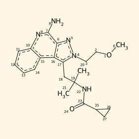 COCCn1nc2c(N)nc3ccccc3c2c1CC(C)(C)NC(=O)C1CC1